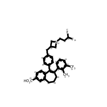 Cc1c(C2=C(c3ccc(CC4CN(CCC(F)F)C4)cc3)c3ccc(C(=O)O)cc3CCC2)cccc1C(F)(F)F